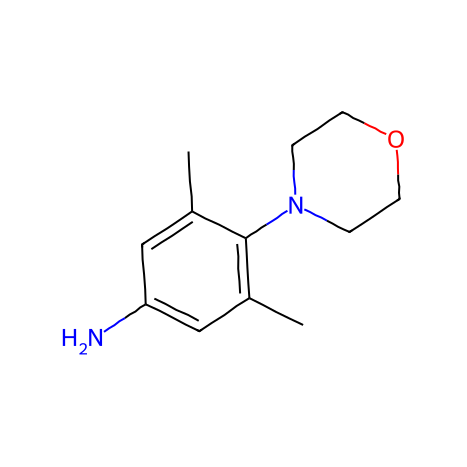 Cc1cc(N)cc(C)c1N1CCOCC1